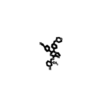 C[C@@]1(COc2nc(-c3ccc(C#N)cc3)c(-c3ccc(CN4CCOCC4)cc3)n3ccnc23)CCCNC1